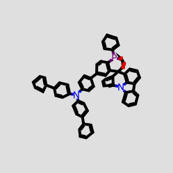 c1ccc(-c2ccc(N(c3ccc(-c4ccccc4)cc3)c3ccc(-c4ccc5c(c4)C4(c6ccccc6-n6c7ccccc7c7cccc4c76)c4ccccc4P5c4ccccc4)cc3)cc2)cc1